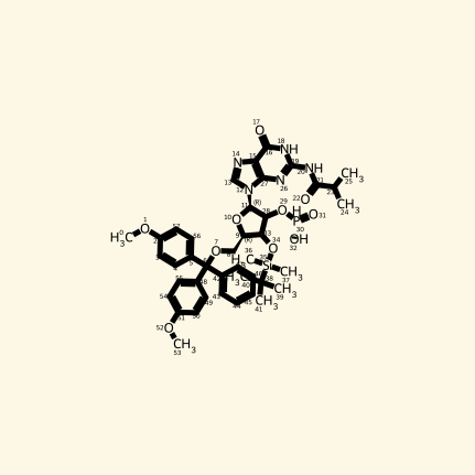 COc1ccc(C(OC[C@H]2O[C@@H](n3cnc4c(=O)[nH]c(NC(=O)C(C)C)nc43)C(O[PH](=O)O)C2O[Si](C)(C)C(C)(C)C)(c2ccccc2)c2ccc(OC)cc2)cc1